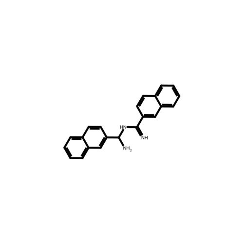 N=C(NC(N)c1ccc2ccccc2c1)c1ccc2ccccc2c1